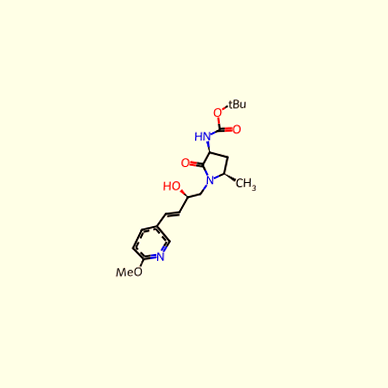 COc1ccc(C=C[C@@H](O)CN2C(=O)[C@@H](NC(=O)OC(C)(C)C)C[C@H]2C)cn1